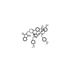 COc1ccc(CN(Cc2ccc(OC)cc2)S(=O)(=O)c2c(S(=O)O)ccc(N3CCC(CN4C(=O)c5ccccc5C4=O)CC3=O)c2-c2nnn(Cc3ccc(OC)cc3)n2)cc1